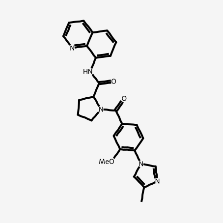 COc1cc(C(=O)N2CCCC2C(=O)Nc2cccc3cccnc23)ccc1-n1cnc(C)c1